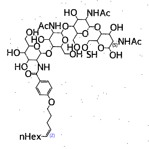 CCCCCC/C=C\CCCOc1ccc(C(=O)NC2C(OC3C(CO)OC(OC4C(CO)OC(OC5C(COS)OC(O)[C@@H](NC(C)=O)C5O)C(NC(C)=O)C4O)C(NC(C)=O)C3O)OC(CO)C(O)C2O)cc1